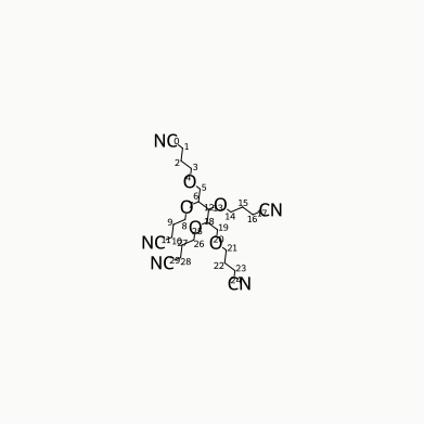 N#CCCCOCC(OCCCC#N)C(OCCCC#N)C(COCCCC#N)OCCCC#N